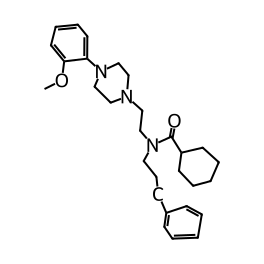 COc1ccccc1N1CCN(CCN(CCCc2ccccc2)C(=O)C2CCCCC2)CC1